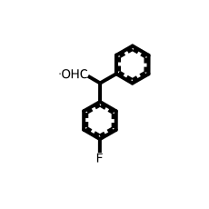 O=[C]C(c1ccccc1)c1ccc(F)cc1